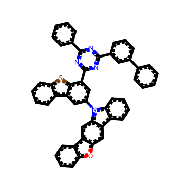 c1ccc(-c2cccc(-c3nc(-c4ccccc4)nc(-c4cc(-n5c6ccccc6c6cc7oc8ccccc8c7cc65)cc5c4sc4ccccc45)n3)c2)cc1